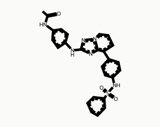 CC(=O)Nc1ccc(Nc2nc3c(-c4ccc(NS(=O)(=O)c5ccccc5)cc4)cccn3n2)cc1